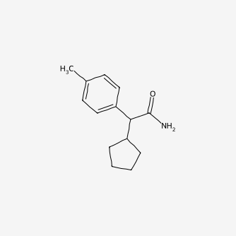 Cc1ccc(C(C(N)=O)C2CCCC2)cc1